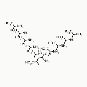 CC(C[C@H](N)C(=O)O)C(=O)O.C[C@H](N)C(=O)O.C[C@H](N)C(=O)O.C[C@H](N)C(=O)O.C[C@H](N)C(=O)O.C[C@H](N)C(=O)O.C[C@H](N)C(=O)O.C[C@H](N)C(=O)O.C[C@H](N)C(=O)O.C[C@H](N)C(=O)O